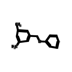 Cc1cc(C)cc(COc2cc[c]cc2)c1